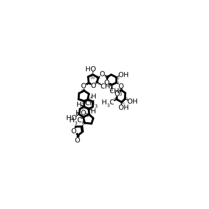 C[C@H]1O[C@@H](O[C@H]2[C@@H](O)C[C@H](O[C@H]3[C@@H](O)CC(O[C@H]4CC[C@@]5(C)[C@H](CC[C@@H]6[C@@H]5C[C@@H](O)[C@]5(C)[C@@H](C7=CC(=O)OC7)CC[C@]65O)C4)O[C@@H]3C)O[C@@H]2C)C[C@H](O)[C@@H]1O